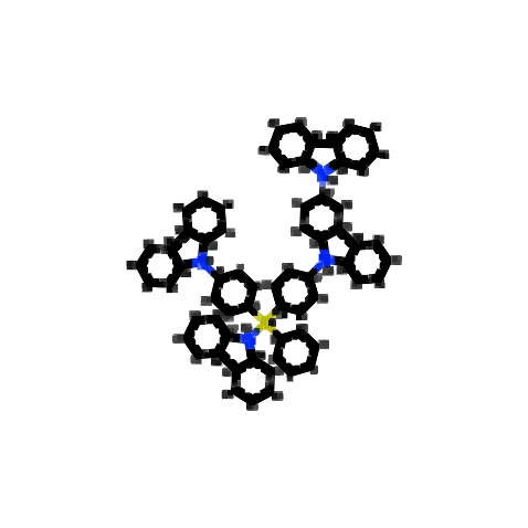 c1ccc(S(c2ccc(-n3c4ccccc4c4ccccc43)cc2)(c2ccc(-n3c4ccccc4c4cc(-n5c6ccccc6c6ccccc65)ccc43)cc2)n2c3ccccc3c3ccccc32)cc1